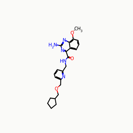 COc1cccc2c(C(=O)NCc3cccc(COCC4CCCC4)n3)nc(N)nc12